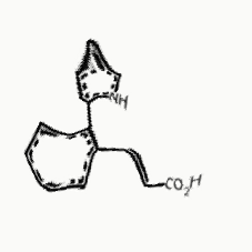 O=C(O)C=Cc1ccccc1-c1ccc[nH]1